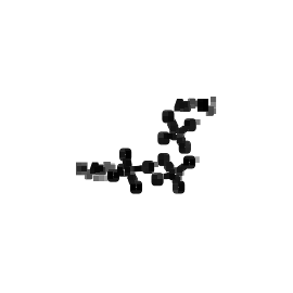 [AsH3+3].[AsH3+3].[O]=[Cr](=[O])([O-])[O-].[O]=[Cr](=[O])([O-])[O-].[O]=[Cr](=[O])([O-])[O-]